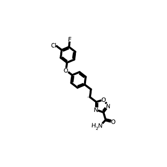 NC(=O)c1noc([CH]Cc2ccc(Oc3ccc(F)c(Cl)c3)cc2)n1